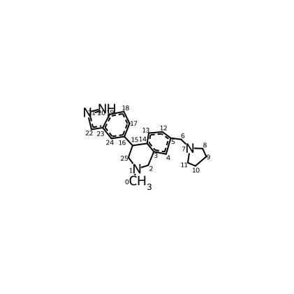 CN1Cc2cc(CN3CCCC3)ccc2C(c2ccc3[nH]ncc3c2)C1